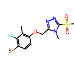 Cc1c(OCc2nnc(S(C)(=O)=O)n2C)ccc(Br)c1F